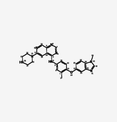 Cc1cc(Nc2ncnc3cnc(N4CCNCC4)cc23)ccc1Oc1ccc2c(c1)ncn2C